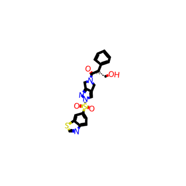 O=C([C@@H](CO)c1ccccc1)N1Cc2cn(S(=O)(=O)c3ccc4ncsc4c3)nc2C1